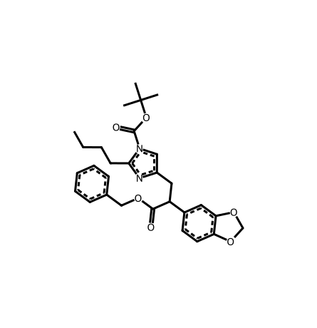 CCCCc1nc(CC(C(=O)OCc2ccccc2)c2ccc3c(c2)OCO3)cn1C(=O)OC(C)(C)C